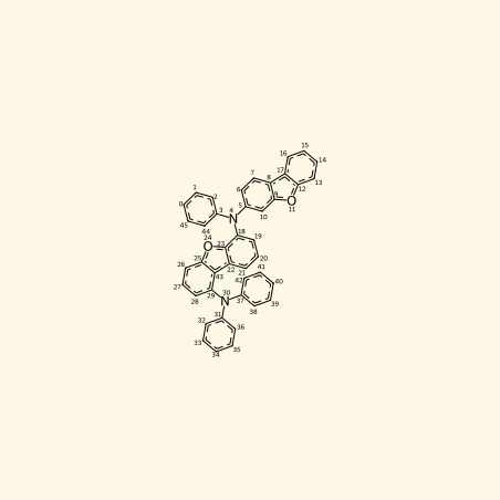 c1ccc(N(c2ccc3c(c2)oc2ccccc23)c2cccc3c2oc2cccc(N(c4ccccc4)c4ccccc4)c23)cc1